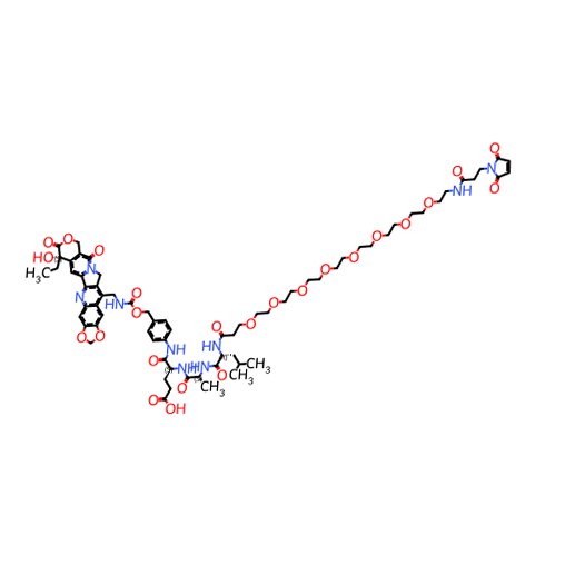 CC[C@@]1(O)C(=O)OCc2c1cc1n(c2=O)Cc2c-1nc1cc3c(cc1c2CNC(=O)OCc1ccc(NC(=O)[C@H](CCC(=O)O)NC(=O)[C@H](C)NC(=O)[C@@H](CC(C)C)NC(=O)CCOCCOCCOCCOCCOCCOCCOCCOCCNC(=O)CCN2C(=O)C=CC2=O)cc1)OCO3